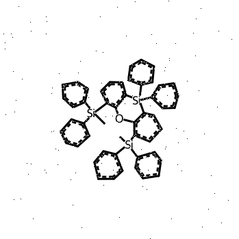 C[Si](c1ccccc1)(c1ccccc1)c1cccc2c1Oc1c([Si](C)(c3ccccc3)c3ccccc3)cccc1[Si]2(c1ccccc1)c1ccccc1